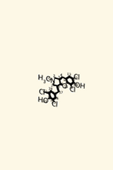 CN1CC(=Cc2cc(Cl)c(O)c(Cl)c2)C(=O)C(=Cc2cc(Cl)c(O)c(Cl)c2)C1